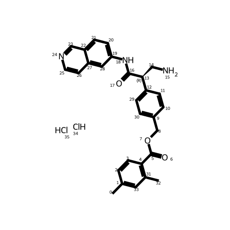 Cc1ccc(C(=O)OCc2ccc([C@H](CN)C(=O)Nc3ccc4cnccc4c3)cc2)c(C)c1.Cl.Cl